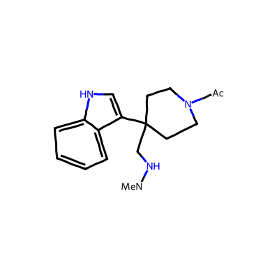 CNNCC1(c2c[nH]c3ccccc23)CCN(C(C)=O)CC1